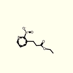 CCOC(=O)CCc1cccnc1[N+](=O)[O-]